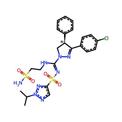 CC(C)n1ncc(S(=O)(=O)N=C(NCCS(N)(=O)=O)N2C[C@@H](c3ccccc3)C(c3ccc(Cl)cc3)=N2)n1